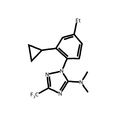 CCc1ccc(-n2nc(C(F)(F)F)nc2N(C)C)c(C2CC2)c1